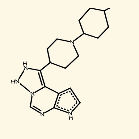 FC(F)(F)C1CCC(N2CCC(C3=C4c5cc[nH]c5N=CN4NN3)CC2)CC1